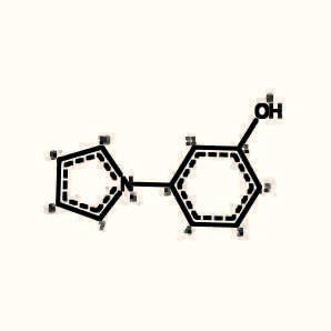 Oc1[c]ccc(-n2cccc2)c1